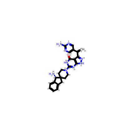 C=C(c1cnc(N)nc1)c1n[nH]c2nc(N3CCC4(CC3)Cc3ccccc3[C@H]4N)[nH]c(=O)c12